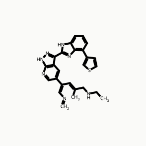 C=N/C=C(\C=C(/C)CNCC)c1cnc2[nH]nc(-c3nc4c(-c5ccsc5)cccc4[nH]3)c2c1